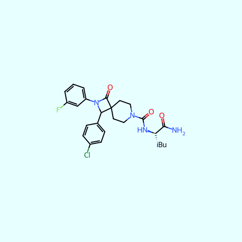 CC[C@@H](C)[C@@H](NC(=O)N1CCC2(CC1)C(=O)N(c1cccc(F)c1)C2c1ccc(Cl)cc1)C(N)=O